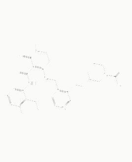 CCc1c(Cl)cccc1NC(=S)C1=C(NCc2ccncc2OC[C@H]2CN(C(=O)O)CCO2)CCNC1=O